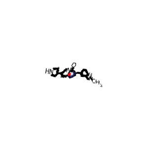 Cn1cc2cc(C3=C\C(=O)N4C=C(C5=CCNCC5)C=C\C4=C/C=C/3)ccc2n1